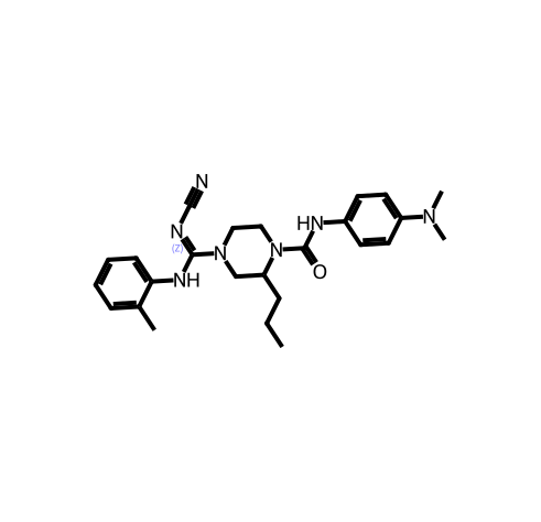 CCCC1CN(/C(=N\C#N)Nc2ccccc2C)CCN1C(=O)Nc1ccc(N(C)C)cc1